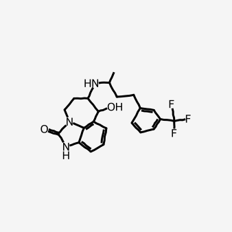 CC(CCc1cccc(C(F)(F)F)c1)NC1CCn2c(=O)[nH]c3cccc(c32)C1O